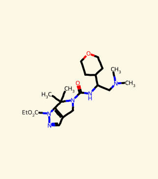 CCOC(=O)n1ncc2c1C(C)(C)N(C(=O)NC(CN(C)C)C1CCOCC1)C2